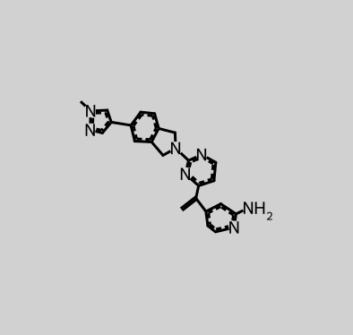 C=C(c1ccnc(N)c1)c1ccnc(N2Cc3ccc(-c4cnn(C)c4)cc3C2)n1